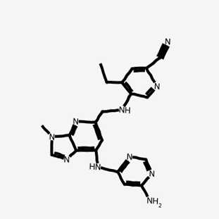 CCc1cc(C#N)ncc1NCc1cc(Nc2cc(N)ncn2)c2ncn(C)c2n1